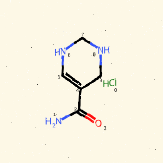 Cl.NC(=O)C1=CNCNC1